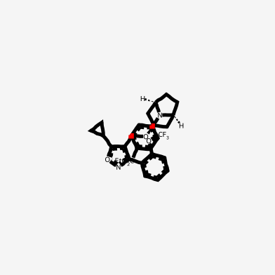 CCOC(=O)c1ccc(N2[C@@H]3CC[C@H]2C[C@@H](OCc2c(-c4ccccc4OC(F)(F)F)noc2C2CC2)C3)cc1